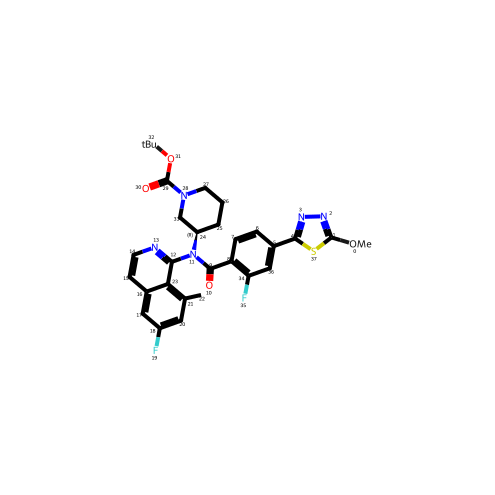 COc1nnc(-c2ccc(C(=O)N(c3nccc4cc(F)cc(C)c34)[C@@H]3CCCN(C(=O)OC(C)(C)C)C3)c(F)c2)s1